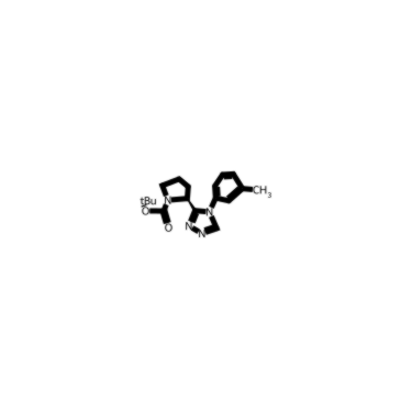 Cc1cccc(-n2cnnc2[C@@H]2CCCN2C(=O)OC(C)(C)C)c1